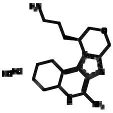 Cl.Cl.NCCC[C@H]1COCc2nc3c(n21)=C1CCCCC1NC=3N